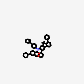 CC1(C)c2cc(N(c3ccc(C4CC5CCC4C5)cc3)c3cccc4cc(C5CCCCC5)ccc34)c(-c3ccccc3)cc2-c2cccc(-c3ccccc3)c21